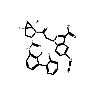 NC(=O)c1nn(CC(=O)N2[C@@H]3C[C@@H]3C[C@H]2C(=O)Nc2cccc(-c3ccccc3Cl)c2F)c2ccc(N=C=O)cc12